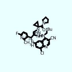 Cc1nc(F)ccc1[C@H](Nc1cc(Cl)c2ncc(C#N)c(NCC(C)(C)C)c2c1)C1=CN(C2(C(=O)N3CCCC3)CC2)NN1